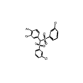 CC(=O)c1ccc(N(S(=O)(=O)c2cccc(Cl)c2)S(=O)(=O)c2cccc(Cl)c2)cc1Cl